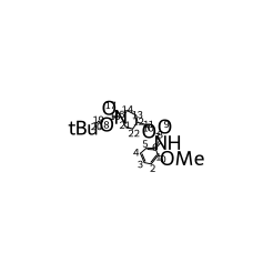 COc1ccccc1NC(=O)OCC1CCN(C(=O)OCC(C)(C)C)CC1